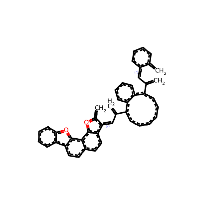 C=C(/C=c1/ccccc1=C)c1ccccccc(C(=C)/C=c2\c(=C)oc3c2ccc2ccc4c5ccccc5oc4c23)c2ccccc12